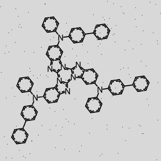 c1ccc(-c2ccc(N(c3ccccc3)c3ccc4nc5n(c4c3)c3nc4ccc(N(c6ccccc6)c6ccc(-c7ccccc7)cc6)cc4n3c3nc4ccc(N(c6ccccc6)c6ccc(-c7ccccc7)cc6)cc4n53)cc2)cc1